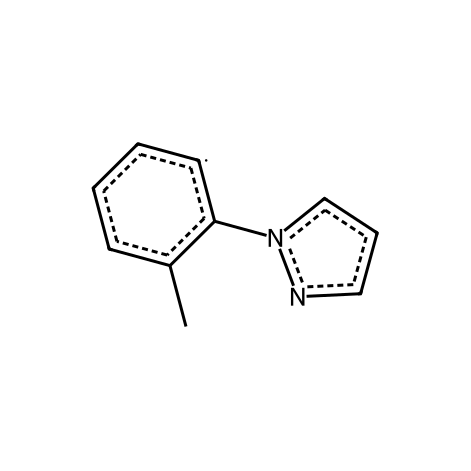 Cc1ccc[c]c1-n1cccn1